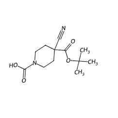 CC(C)(C)OC(=O)C1(C#N)CCN(C(=O)O)CC1